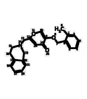 Cc1ccccc1COc1coc(CN2CCc3ccccc3C2)cc1=O